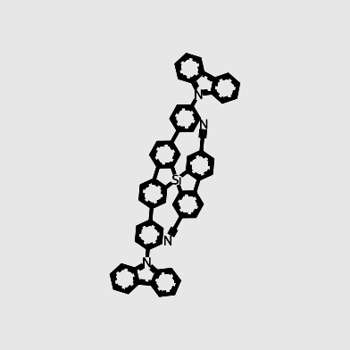 N#Cc1ccc2c(c1)[Si]1(c3cc(C#N)ccc3-2)c2cc(-c3ccc(-n4c5ccccc5c5ccccc54)cc3)ccc2-c2ccc(-c3ccc(-n4c5ccccc5c5ccccc54)cc3)cc21